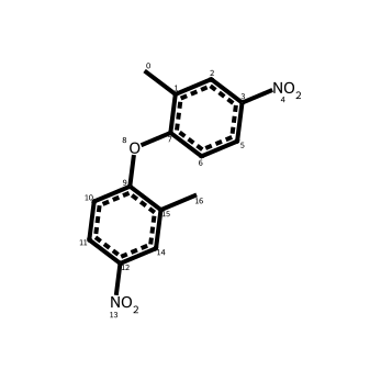 Cc1cc([N+](=O)[O-])ccc1Oc1ccc([N+](=O)[O-])cc1C